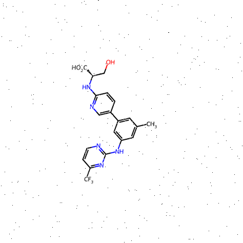 Cc1cc(Nc2nccc(C(F)(F)F)n2)cc(-c2ccc(N[C@H](CO)C(=O)O)nc2)c1